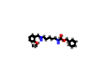 COc1ccccc1CNCCCCCNC(=O)OCc1ccccc1